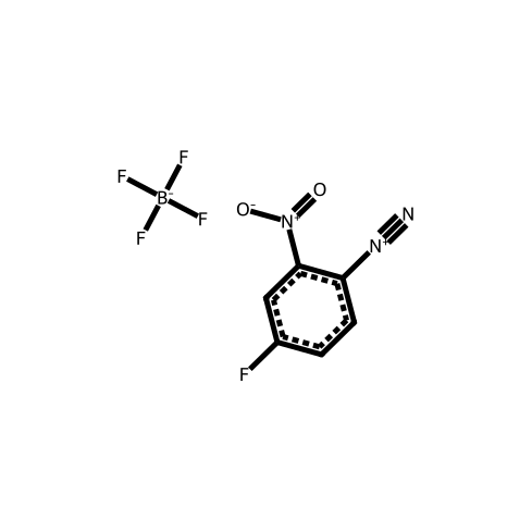 F[B-](F)(F)F.N#[N+]c1ccc(F)cc1[N+](=O)[O-]